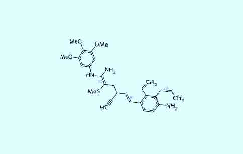 C#CC(/C=C/c1ccc(N)c(/C=C\C)c1C=C)C/C(SC)=C(\N)Nc1cc(OC)c(OC)c(OC)c1